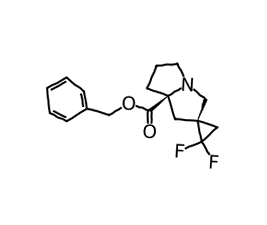 O=C(OCc1ccccc1)[C@@]12CCCN1C[C@]1(CC1(F)F)C2